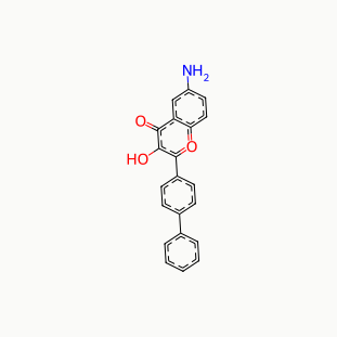 Nc1ccc2oc(-c3ccc(-c4ccccc4)cc3)c(O)c(=O)c2c1